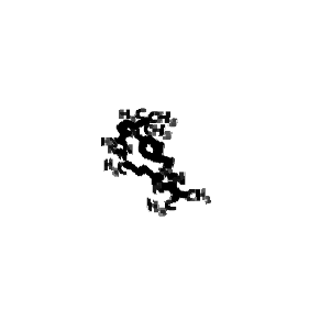 CCCCc1nc(C(C)C)nn1Cc1ccc(-n2c(-c3nnn[nH]3)ccc2C(C)(C)C)cc1